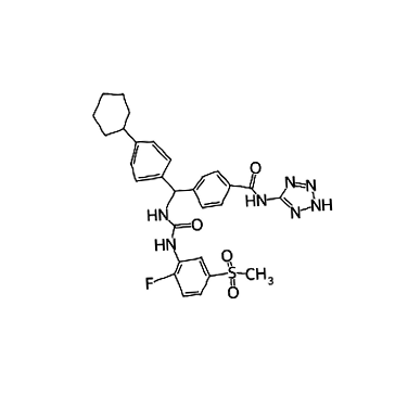 CS(=O)(=O)c1ccc(F)c(NC(=O)NC(c2ccc(C(=O)Nc3nn[nH]n3)cc2)c2ccc(C3CCCCC3)cc2)c1